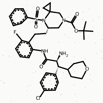 CC(C)(C)OC(=O)N1C[C@H](CCc2c(F)cccc2NC(=O)[C@@H](N)[C@@H](c2ccc(Cl)cc2)C2CCOCC2)N(S(=O)(=O)c2ccccc2)C2(CC2)C1